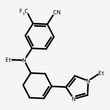 CCN(c1ccc(C#N)c(C(F)(F)F)c1)C1CCC=C(c2cn(CC)cn2)C1